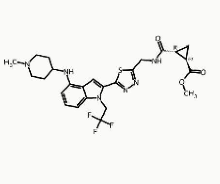 COC(=O)[C@@H]1C[C@H]1C(=O)NCc1nnc(-c2cc3c(NC4CCN(C)CC4)cccc3n2CC(F)(F)F)s1